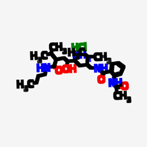 CCCCNC(=O)C(CC(O)C(N)CC(CNC(=O)c1ccccc1NC(C)=O)C(C)C)C(C)C.Cl